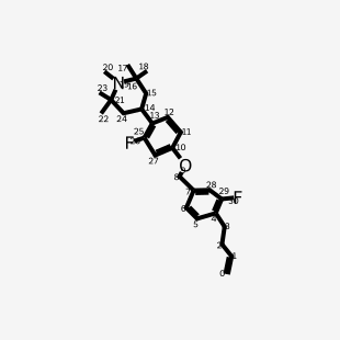 C=CCCc1ccc(COc2ccc(C3CC(C)(C)N(C)C(C)(C)C3)c(F)c2)cc1F